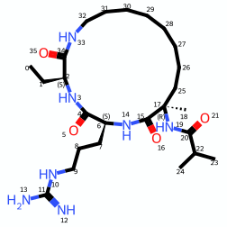 CC[C@@H]1NC(=O)[C@H](CCCNC(=N)N)NC(=O)[C@](C)(NC(=O)C(C)C)CCCCCCCCNC1=O